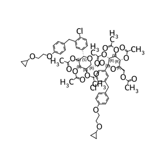 CC(=O)OC[C@H]1O[C@@](OC[C@H]2O[C@@H](c3ccc(Cl)c(Cc4ccc(OCCOC5CC5)cc4)c3)[C@H](OC(C)=O)[C@@H](OC(C)=O)[C@@H]2OC(C)=O)(c2ccc(Cl)c(Cc3ccc(OCCOC4CC4)cc3)c2)[C@H](OC(C)=O)[C@@H](OC(C)=O)[C@@H]1OC(C)=O